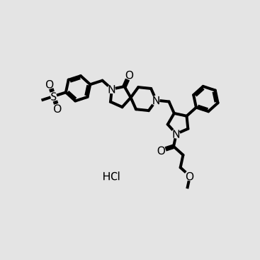 COCCC(=O)N1CC(CN2CCC3(CC2)CCN(Cc2ccc(S(C)(=O)=O)cc2)C3=O)C(c2ccccc2)C1.Cl